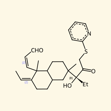 C/C=C1/CCC2CC(C)([C@](O)(CC)C(=O)CSc3ccccn3)CCC2C1(C)/C=C\C=O